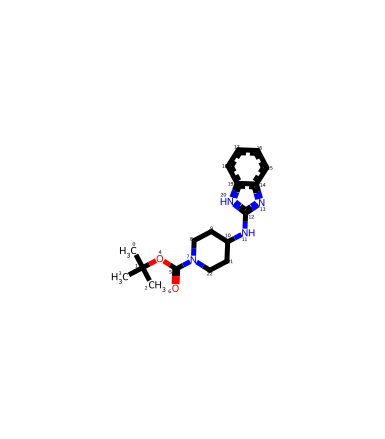 CC(C)(C)OC(=O)N1CCC(Nc2nc3ccccc3[nH]2)CC1